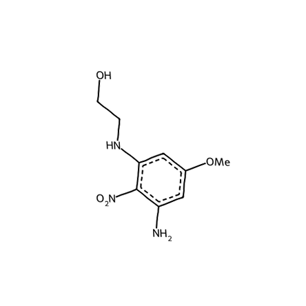 COc1cc(N)c([N+](=O)[O-])c(NCCO)c1